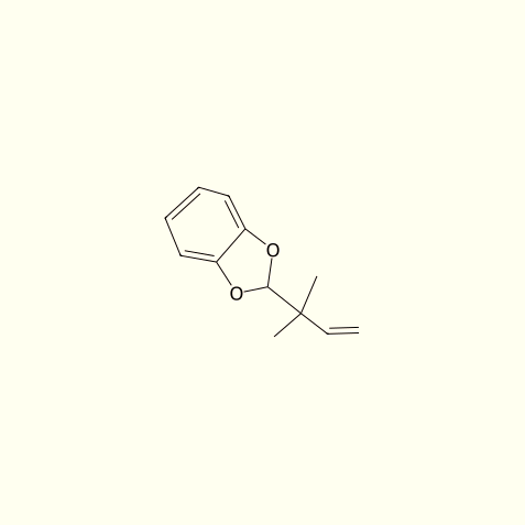 C=CC(C)(C)C1Oc2ccccc2O1